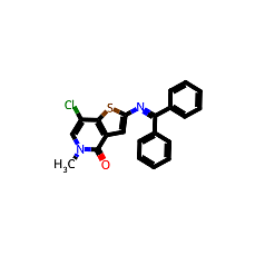 Cn1cc(Cl)c2sc(N=C(c3ccccc3)c3ccccc3)cc2c1=O